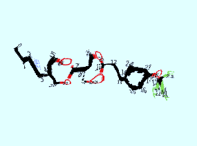 CC/C=C/[C@H]1CO[C@H]([C@H]2CO[C@H](CCc3ccc(OC(F)(F)F)cc3)OC2)OC1